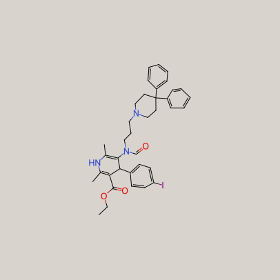 CCOC(=O)C1=C(C)NC(C)=C(N(C=O)CCCN2CCC(c3ccccc3)(c3ccccc3)CC2)C1c1ccc(I)cc1